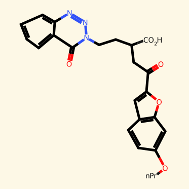 CCCOc1ccc2cc(C(=O)CC(CCn3nnc4ccccc4c3=O)C(=O)O)oc2c1